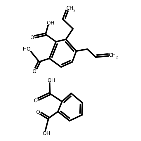 C=CCc1ccc(C(=O)O)c(C(=O)O)c1CC=C.O=C(O)c1ccccc1C(=O)O